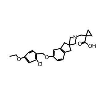 CCOc1ccc(COc2ccc3c(c2)CC2(C3)CN(CC3(C(=O)O)CC3)C2)c(Cl)c1